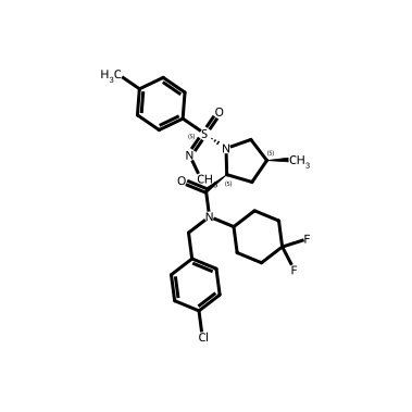 CN=[S@](=O)(c1ccc(C)cc1)N1C[C@@H](C)C[C@H]1C(=O)N(Cc1ccc(Cl)cc1)C1CCC(F)(F)CC1